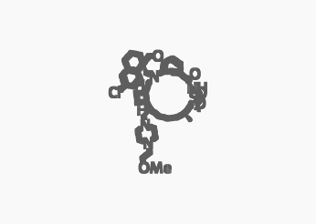 COCCN1CCN(C[C@@H]2CCC[C@H](C)[C@@H](C)S(=O)(=O)NC(=O)c3ccc4c(c3)N(C[C@@H]3CC[C@@H]23)C[C@@]2(CCCc3cc(Cl)ccc32)CO4)CC1